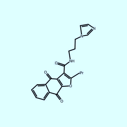 CC(C)c1oc2c(c1C(=O)NCCCn1ccnc1)C(=O)c1ccccc1C2=O